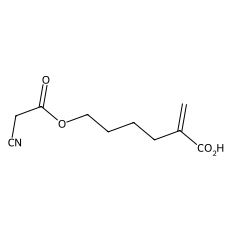 C=C(CCCCOC(=O)CC#N)C(=O)O